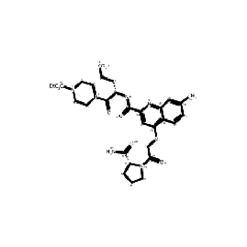 CCOC(=O)N1CCN(C(=O)[C@H](CCC(=O)O)NC(=O)c2cc(OCC(=O)N3CCC[C@@H]3C(N)=O)c3ccc(C)cc3n2)CC1